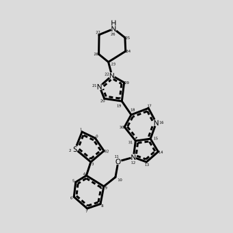 c1csc(-c2ccccc2COn2ccc3ncc(-c4cnn(C5CCNCC5)c4)cc32)c1